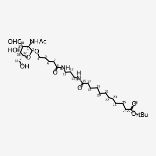 CC(=O)N[C@H]1[C@H](OCCCCC(=O)NCCCNC(=O)CCCCCCCCCCC(=O)OC(C)(C)C)O[C@H](CO)[C@H](O)[C@@H]1C=O